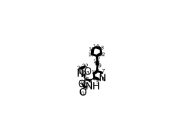 O=C1N[C@H](c2cncc(C#Cc3ccccc3)c2)[C@H](c2ncco2)O1